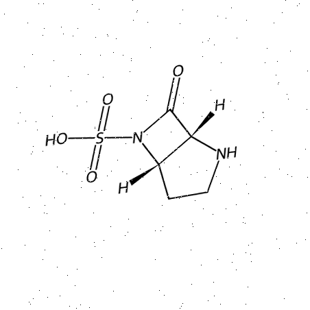 O=C1[C@@H]2NCC[C@@H]2N1S(=O)(=O)O